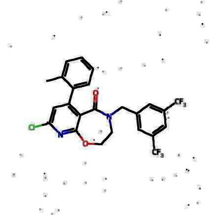 Cc1ccccc1-c1cc(Cl)nc2c1C(=O)N(Cc1cc(C(F)(F)F)cc(C(F)(F)F)c1)CCO2